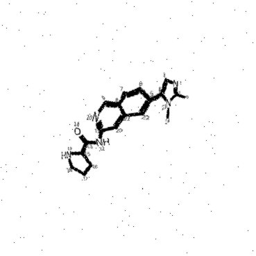 Cc1ncc(-c2ccc3cnc(NC(=O)C4CCCN4)cc3c2)n1C